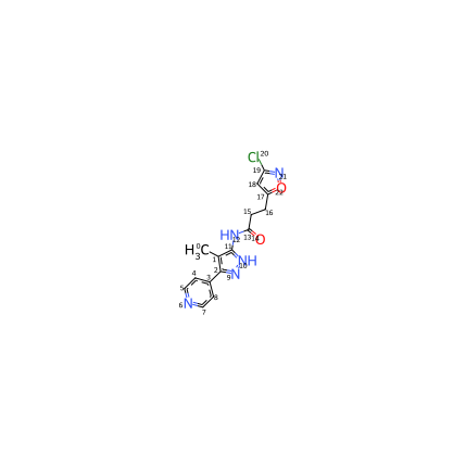 Cc1c(-c2ccncc2)n[nH]c1NC(=O)CCc1cc(Cl)no1